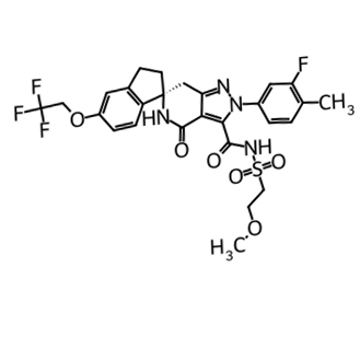 COCCS(=O)(=O)NC(=O)c1c2c(nn1-c1ccc(C)c(F)c1)C[C@]1(CCc3cc(OCC(F)(F)F)ccc31)NC2=O